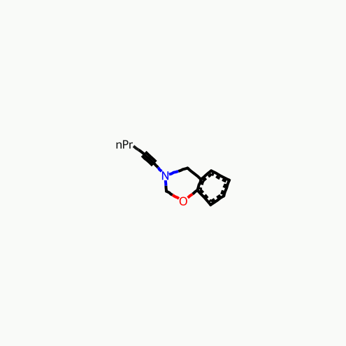 CCCC#CN1COc2ccccc2C1